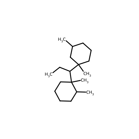 CCC(C1(C)CCCC(C)C1)C1(C)CCCCC1C